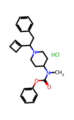 CN(C(=O)Oc1ccccc1)C1CCN(C(Cc2ccccc2)C2=CCC2)CC1.Cl